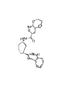 O=C(N[C@@H]1CCC[C@H](c2nc3ccccc3[nH]2)C1)c1cnc2c(c1)OCCO2